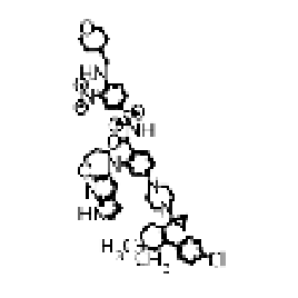 CC1(C)CCC(C2(N3CCN(c4ccc(C(=O)NS(=O)(=O)c5ccc(NCC6CCOCC6)c([N+](=O)[O-])c5)c(N5CCCOc6nc7[nH]ccc7cc65)c4)CC3)CC2)=C(c2ccc(Cl)cc2)C1